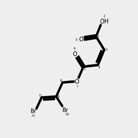 O=C(O)/C=C\C(=O)OCC(Br)=CBr